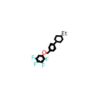 CCC1CCC(c2ccc(COc3cc(F)c(F)c(F)c3F)cc2)CC1